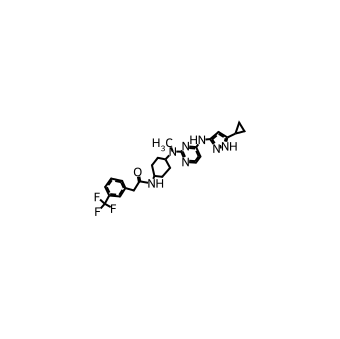 CN(c1nccc(Nc2cc(C3CC3)[nH]n2)n1)C1CCC(NC(=O)Cc2cccc(C(F)(F)F)c2)CC1